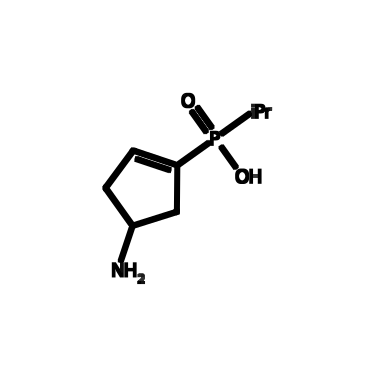 CC(C)P(=O)(O)C1=CCC(N)C1